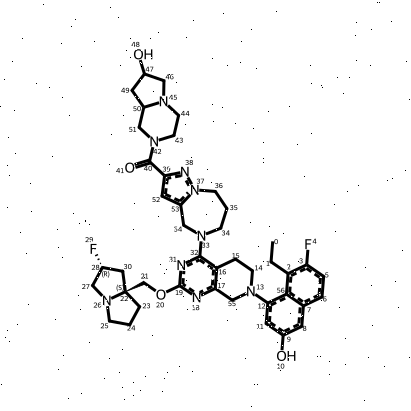 CCc1c(F)ccc2cc(O)cc(N3CCc4c(nc(OC[C@@]56CCCN5C[C@H](F)C6)nc4N4CCCn5nc(C(=O)N6CCN7CC(O)CC7C6)cc5C4)C3)c12